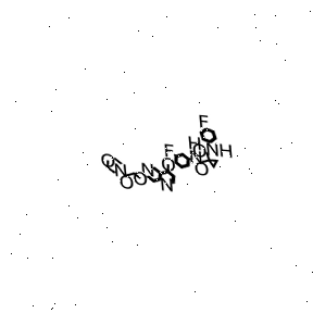 O=C(COc1cc2nccc(Oc3ccc(NC(=O)C4(C(=O)Nc5ccc(F)cc5)CC4)cc3F)c2cn1)N1CCOCC1